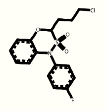 O=S1(=O)C(CCCCl)Oc2ccccc2N1c1ccc(F)cc1